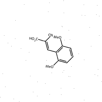 COc1cccc(OC)c1/C=C(\C#N)C(=O)O